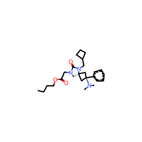 CCCCOC(=O)CN1C[C@]2(C[C@](c3ccccc3)(N(C)C)C2)N(CC2CCC2)C1=O